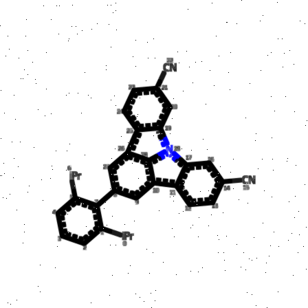 CC(C)c1cccc(C(C)C)c1-c1cc2c3ccc(C#N)cc3n3c4cc(C#N)ccc4c(c1)c23